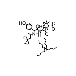 CCCC[N+](CCCC)(CCCC)CCCC.COC(=O)/C=C(\C)NC(C(=O)NC1C(=O)N2[C@@H]1SC(C)(C)[C@@H]2C(=O)[O-])c1ccc(O)cc1